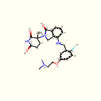 BC1(N2Cc3c(NCc4cc(OCCN(C)C)ccc4F)cccc3C2=O)CCC(=O)NC1=O